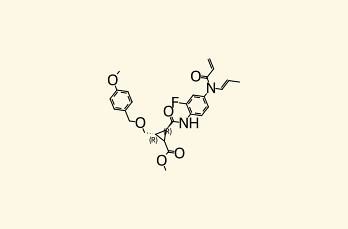 C=CC(=O)N(C=CC)c1ccc(NC(=O)[C@H]2C(C(=O)OC)[C@@H]2COCc2ccc(OC)cc2)c(F)c1